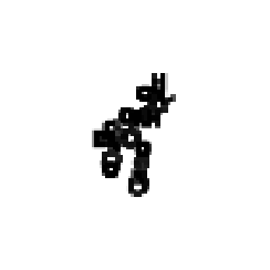 CCN(c1cc(O[C@H]2C[C@H](N3CCCCC3)C2)cc(C(=O)NCc2c(C)cc(C)[nH]c2=O)c1Cl)C1CCOCC1